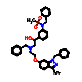 CCCc1nn(Cc2ccccc2)c2cc(OCCN(Cc3ccccc3)CC(O)c3cccc(N(Cc4ccccc4)S(C)(=O)=O)c3)ccc12